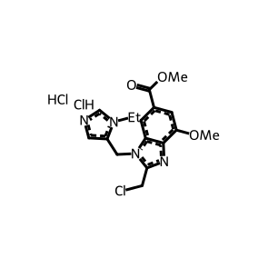 CCn1cncc1Cn1c(CCl)nc2c(OC)cc(C(=O)OC)cc21.Cl.Cl